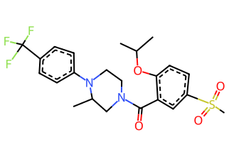 CC(C)Oc1ccc(S(C)(=O)=O)cc1C(=O)N1CCN(c2ccc(C(F)(F)F)cc2)C(C)C1